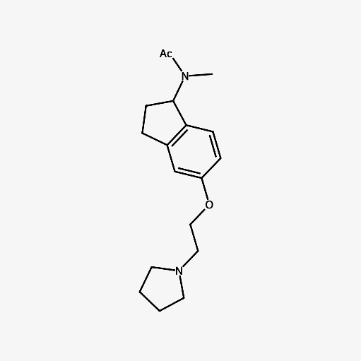 CC(=O)N(C)C1CCc2cc(OCCN3CCCC3)ccc21